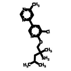 Cc1cc(-c2cnc(OCC(C)(N)CC(C)C)c(Cl)c2)ncn1